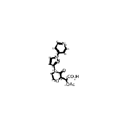 CC(=O)OC(C(=O)O)C1OCCN(c2ccn(-c3ccncc3)n2)C1=O